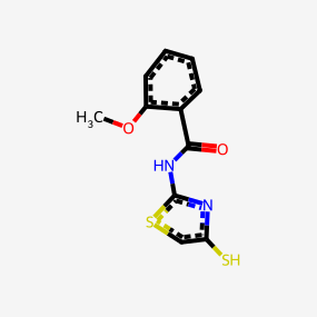 COc1ccccc1C(=O)Nc1nc(S)cs1